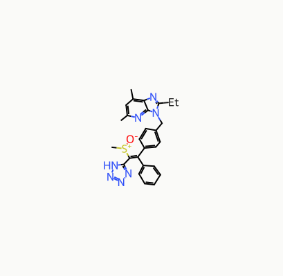 CCc1nc2c(C)cc(C)nc2n1Cc1ccc(C(=C(c2nnn[nH]2)[S+](C)[O-])c2ccccc2)cc1